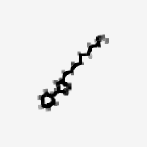 CCCCCCCCCc1cc(-c2ccccc2)on1